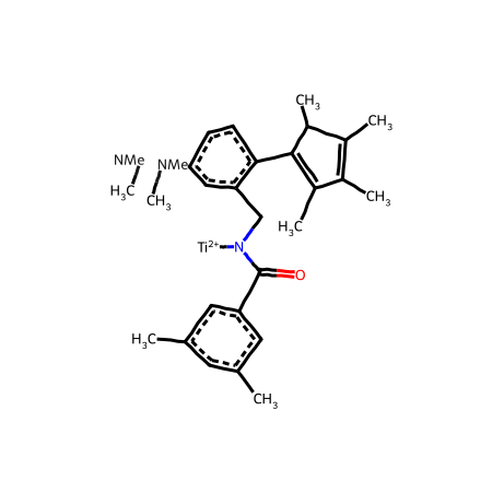 CC1=C(C)C(C)C(c2ccccc2C[N]([Ti+2])C(=O)c2cc(C)cc(C)c2)=C1C.C[N-]C.C[N-]C